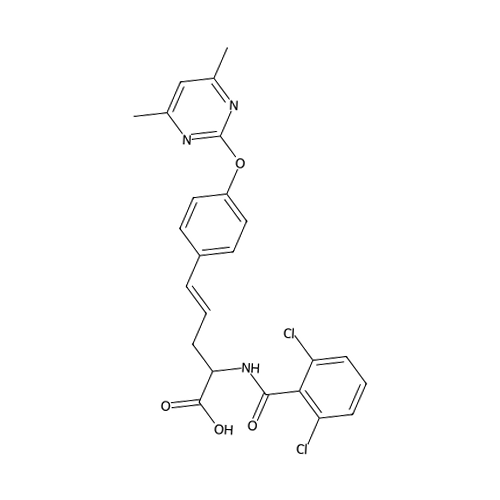 Cc1cc(C)nc(Oc2ccc(/C=C/CC(NC(=O)c3c(Cl)cccc3Cl)C(=O)O)cc2)n1